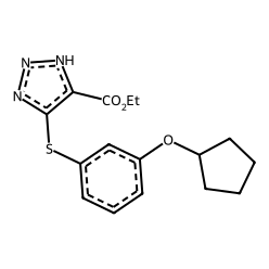 CCOC(=O)c1[nH]nnc1Sc1cccc(OC2CCCC2)c1